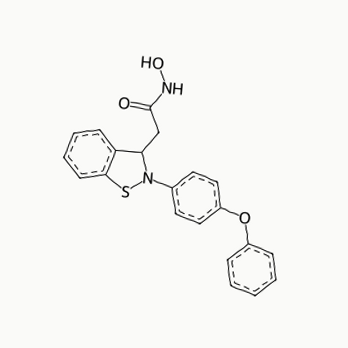 O=C(CC1c2ccccc2SN1c1ccc(Oc2ccccc2)cc1)NO